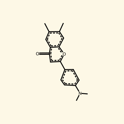 Cc1cc2oc(-c3ccc(N(C)C)cc3)cc(=O)c2cc1C